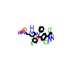 Cn1ncc(Cl)c1-c1ccc(C(=O)N(c2ccccc2)[C@@H]2CNC(CCNS(C)(=O)=O)C[C@H]2c2cccc(F)c2)cc1Cl